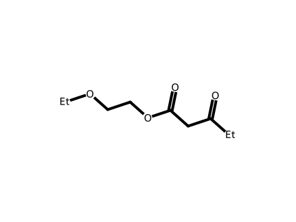 CCOCCOC(=O)CC(=O)CC